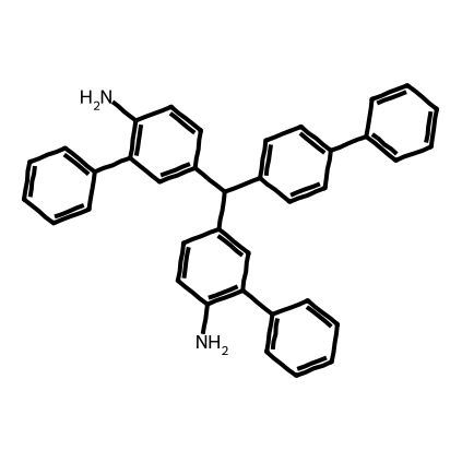 Nc1ccc(C(c2ccc(-c3ccccc3)cc2)c2ccc(N)c(-c3ccccc3)c2)cc1-c1ccccc1